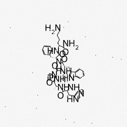 CC(C)CN(NC(=O)[C@@H](C)NC(=O)[C@@H](N)Cc1cnc[nH]1)C(=O)N[C@@H](Cc1c[nH]c2ccccc12)C(=O)N[C@H](Cc1ccccc1)C(=O)N[C@@H](CCCCN)C(N)=O